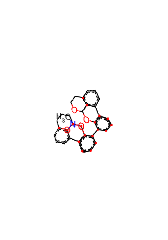 CN(Cc1ccccc1-c1cccc(-c2ccccc2)c1OC1CCCCO1)c1ccccc1-c1cccc(-c2ccccc2)c1OC1CCCCO1